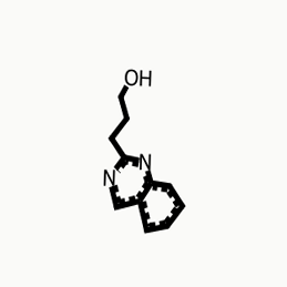 OCCCc1ncc2ccccc2n1